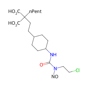 CCCCCC(CCC1CCC(NC(=O)N(CCCl)N=O)CC1)(C(=O)O)C(=O)O